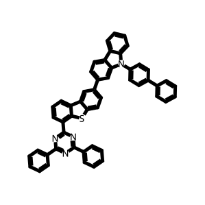 c1ccc(-c2ccc(-n3c4ccccc4c4ccc(-c5ccc6sc7c(-c8nc(-c9ccccc9)nc(-c9ccccc9)n8)cccc7c6c5)cc43)cc2)cc1